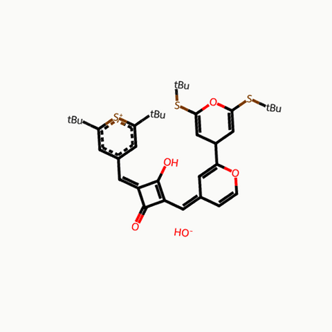 CC(C)(C)SC1=CC(C2=CC(=CC3=C(O)C(=Cc4cc(C(C)(C)C)[s+]c(C(C)(C)C)c4)C3=O)C=CO2)C=C(SC(C)(C)C)O1.[OH-]